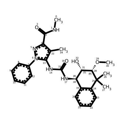 CNC(=O)c1nn(-c2ccccc2)c(NC(=O)N[C@@H]2c3ccccc3C(C)(C)[C@@H](OC)[C@H]2O)c1C